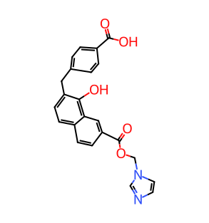 O=C(O)c1ccc(Cc2ccc3ccc(C(=O)OCn4ccnc4)cc3c2O)cc1